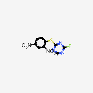 O=[N+]([O-])c1ccc(Sc2n[c]nc(F)n2)c([N+](=O)[O-])c1